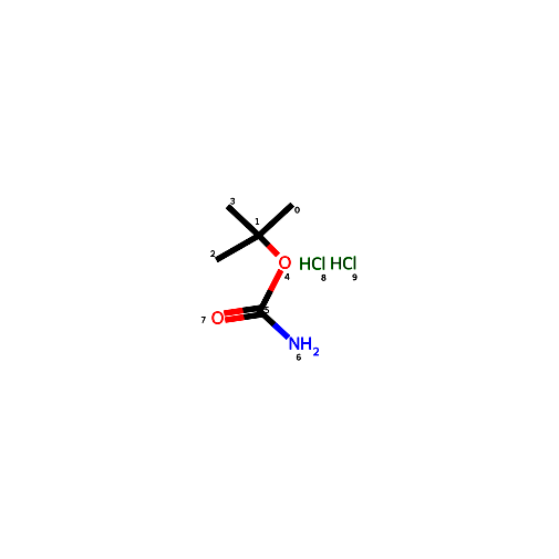 CC(C)(C)OC(N)=O.Cl.Cl